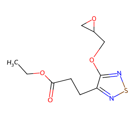 CCOC(=O)CCc1nsnc1OCC1CO1